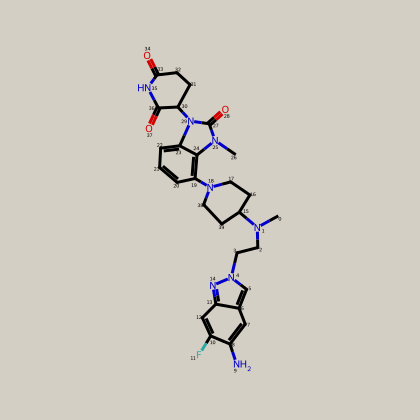 CN(CCn1cc2cc(N)c(F)cc2n1)C1CCN(c2cccc3c2n(C)c(=O)n3C2CCC(=O)NC2=O)CC1